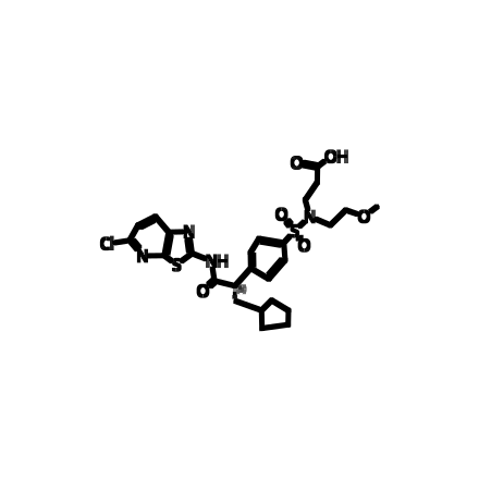 COCCN(CCC(=O)O)S(=O)(=O)c1ccc([C@H](CC2CCCC2)C(=O)Nc2nc3ccc(Cl)nc3s2)cc1